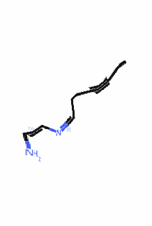 CC#CC/C=N\C=C/N